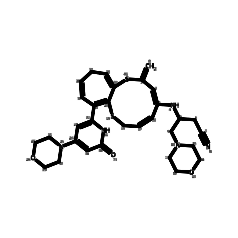 C=C1/C=C(NC(CC#N)CN2CCOCC2)\C=C/CSC2=C(c3cc(N4CCOCC4)cc(=O)[nH]3)C=CCC=C2S1